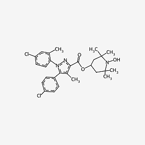 Cc1cc(Cl)ccc1-n1nc(C(=O)OC2CC(C)(C)N(O)C(C)(C)C2)c(C)c1-c1ccc(Cl)cc1